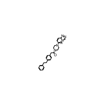 O=C(Cc1ccc(CCc2ccccc2)cc1)N1CCN(c2ccc3nncn3n2)CC1